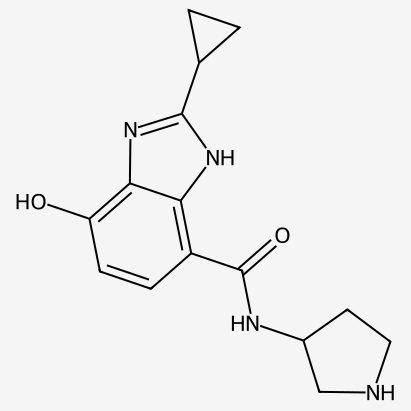 O=C(NC1CCNC1)c1ccc(O)c2nc(C3CC3)[nH]c12